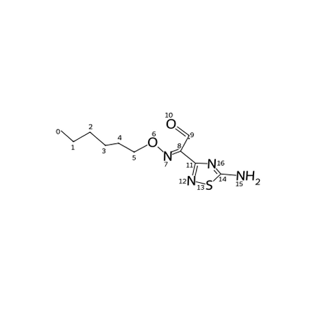 CCCCCCON=C([C]=O)c1nsc(N)n1